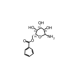 NC1O[C@H](COC(=O)c2ccccc2)[C@@H](O)[C@H](O)[C@H]1O